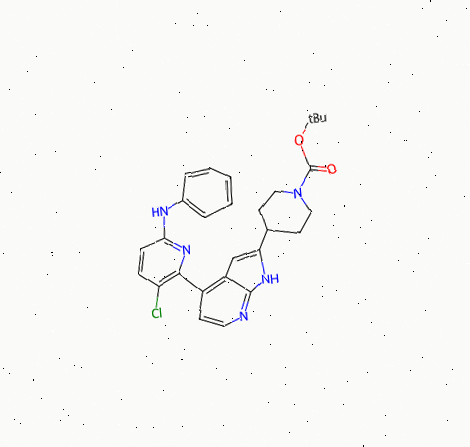 CC(C)(C)OC(=O)N1CCC(c2cc3c(-c4nc(Nc5ccccc5)ccc4Cl)ccnc3[nH]2)CC1